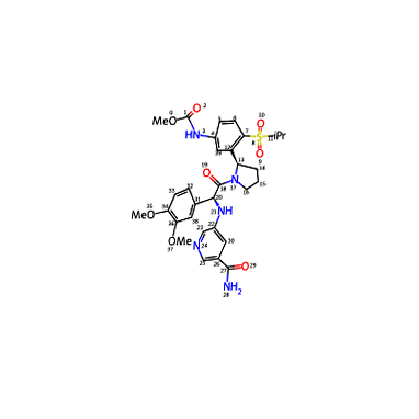 COC(=O)Nc1ccc(S(=O)(=O)C(C)C)c([C@H]2CCCN2C(=O)[C@@H](Nc2cncc(C(N)=O)c2)c2ccc(OC)c(OC)c2)c1